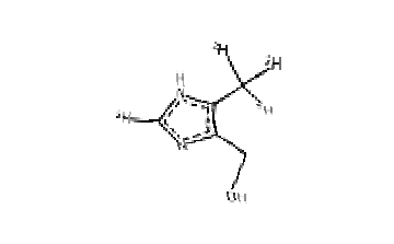 [2H]c1nc(CO)c(C([2H])([2H])[2H])[nH]1